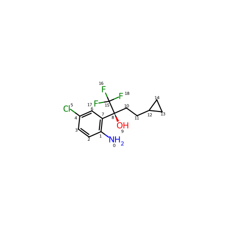 Nc1ccc(Cl)cc1[C@@](O)(CCC1CC1)C(F)(F)F